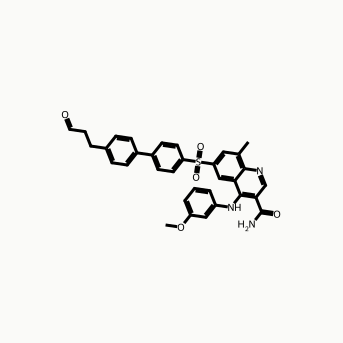 COc1cccc(Nc2c(C(N)=O)cnc3c(C)cc(S(=O)(=O)c4ccc(-c5ccc(CCC=O)cc5)cc4)cc23)c1